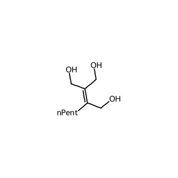 CCCCCC(CO)=C(CO)CO